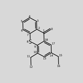 C=C1c2ccccc2Sc2c(CC)cc(CC)cc21